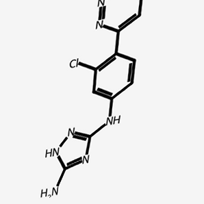 Nc1nc(Nc2ccc(-c3cccnn3)c(Cl)c2)n[nH]1